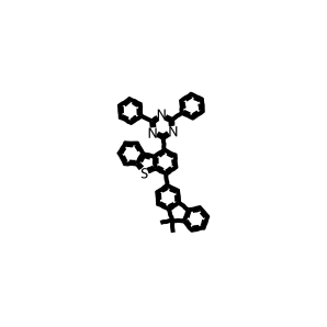 CC1(C)c2ccccc2-c2cc(-c3ccc(-c4nc(-c5ccccc5)nc(-c5ccccc5)n4)c4c3sc3ccccc34)ccc21